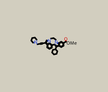 COC(=O)c1ccc2c(C3CCCCC3)c3n(c2c1)CCCn1cc(C#CCN2CCCCC2)c2cccc-3c21